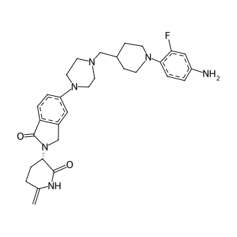 C=C1CC[C@H](N2Cc3cc(N4CCN(CC5CCN(c6ccc(N)cc6F)CC5)CC4)ccc3C2=O)C(=O)N1